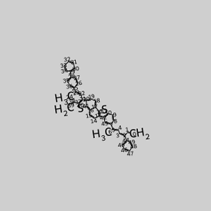 C=C/C(=C\C=C(/C)c1ccc2sc3c(ccc4c3ccc3c(/C=C(\C)c5ccc(-c6ccccc6)cc5)c(C=C)sc34)c2c1)c1ccccc1